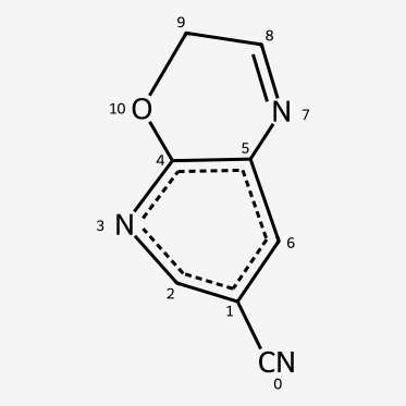 N#Cc1cnc2c(c1)N=CCO2